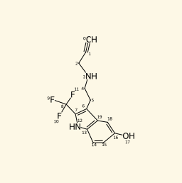 C#CCNCCc1c(C(F)(F)F)[nH]c2ccc(O)cc12